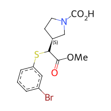 COC(=O)C(Sc1cccc(Br)c1)[C@H]1CCN(C(=O)O)C1